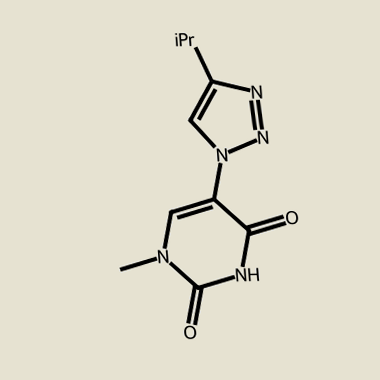 CC(C)c1cn(-c2cn(C)c(=O)[nH]c2=O)nn1